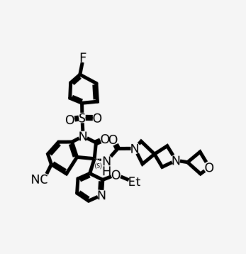 CCOc1ncccc1[C@]1(NC(=O)N2CC3(C2)CN(C2COC2)C3)C(=O)N(S(=O)(=O)c2ccc(F)cc2)c2ccc(C#N)cc21